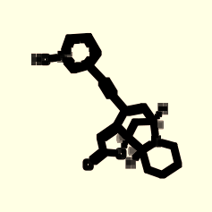 O=C1C=C2C(C#Cc3ccc[n+](O)c3)=C[C@@H]3C[C@@]2(O1)[C@H]1CCCCN31